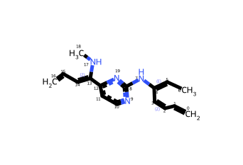 C=C/C=C\C(=C/C)Nc1nccc(/C(=C/C=C)NC)n1